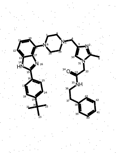 Cc1nc(CN2CCN(c3cccc4[nH]c(-c5ccc(C(C)(C)C)cc5)nc34)CC2)cn1CC(=O)NCCc1ccccc1